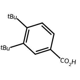 CC(C)(C)c1ccc(C(=O)O)cc1C(C)(C)C